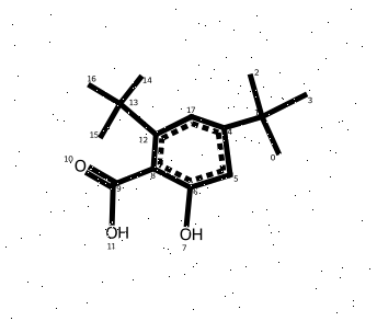 CC(C)(C)c1cc(O)c(C(=O)O)c(C(C)(C)C)c1